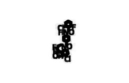 O=C(Nc1ccc(C(=O)N2CCC(F)(F)[C@](O)(CO)c3cc(Cl)ccc32)cc1)c1c(F)cccc1Cl